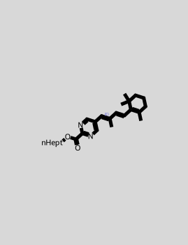 CCCCCCCOC(=O)c1ncc(/C=C(\C)C=CC2=C(C)CCCC2(C)C)cn1